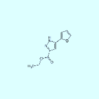 CCOC(=O)c1cc(-c2ccco2)[nH]n1